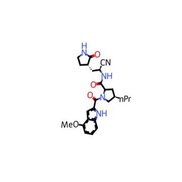 CCC[C@@H]1CC(C(=O)N[C@H](C#N)C[C@@H]2CCNC2=O)N(C(=O)c2cc3c(OC)cccc3[nH]2)C1